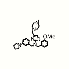 COc1cccc(CN(Cc2cccc(N3CCCC3)c2)c2nc(CN3CCN(C)CC3)co2)c1